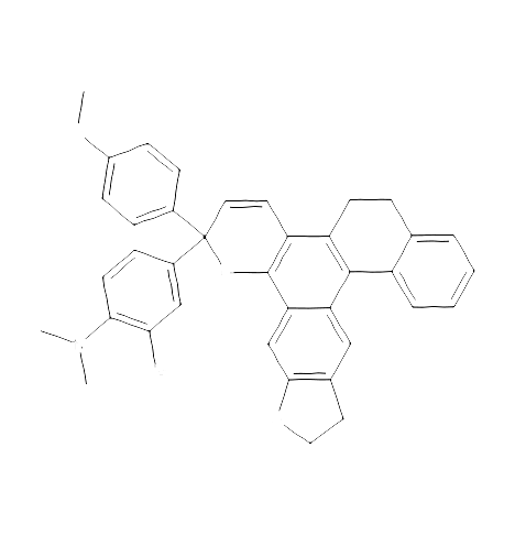 COc1ccc(C2(c3ccc(N(C)C)c(Br)c3)C=Cc3c4c(c5cc6c(cc5c3O2)OCC6)-c2ccccc2CC4)cc1